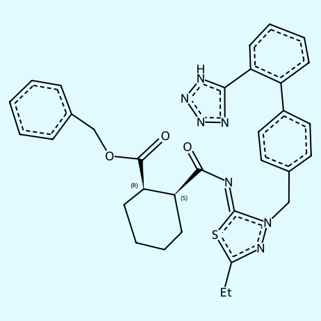 CCc1nn(Cc2ccc(-c3ccccc3-c3nnn[nH]3)cc2)c(=NC(=O)[C@H]2CCCC[C@H]2C(=O)OCc2ccccc2)s1